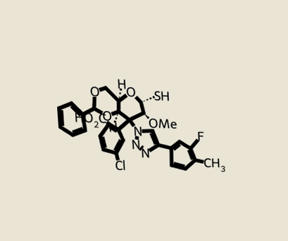 CO[C@H]1[C@@H](S)O[C@@H]2COC(c3ccccc3)O[C@@H]2C1(c1cc(Cl)ccc1C(=O)O)n1cc(-c2ccc(C)c(F)c2)nn1